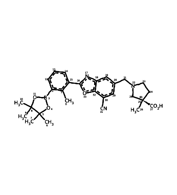 Cc1c(B2OC(C)(C)C(C)(C)O2)cccc1-c1nc2cc(CN3CC[C@@](C)(C(=O)O)C3)cc(C#N)c2o1